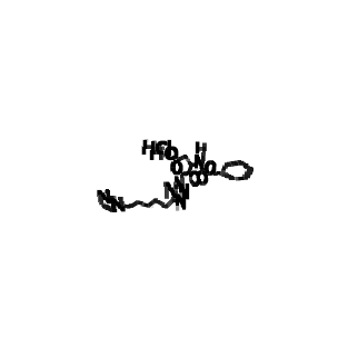 Cl.O=C(O)CC(NC(=O)OCc1ccccc1)C(=O)Cn1nnc(CCCCCn2ccnc2)n1